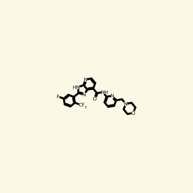 O=C(Nc1cccc(CN2CCOCC2)n1)c1ccnc2[nH]c(-c3cc(F)ccc3C(F)(F)F)nc12